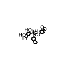 CC(C)c1cc(-c2nnc(Oc3ccc4c(c3)OCO4)n2-c2ccc3c(c2)CCC3)c(O)cc1O